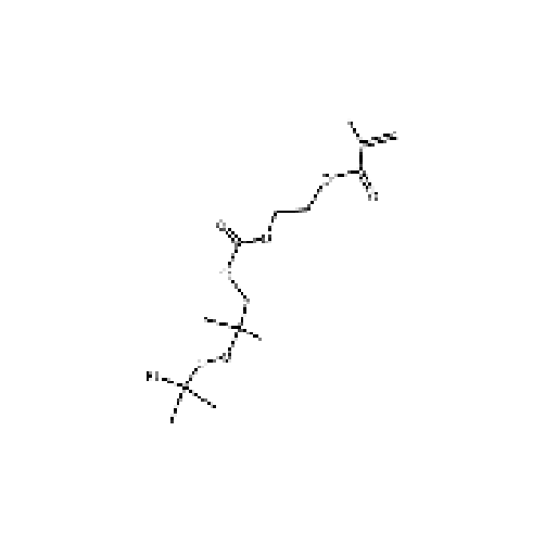 C=C(C)C(=O)OCCOC(=O)OCC(C)(C)OOC(C)(C)CC